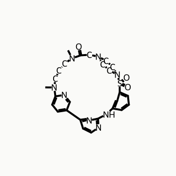 CN1CCCN(C)c2ccc(cn2)-c2ccnc(n2)Nc2cccc(c2)S(=O)(=O)N2CCN(CC2)CC1=O